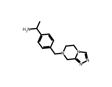 CC(N)c1ccc(CN2CCn3cnnc3C2)cc1